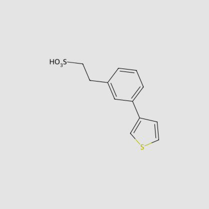 O=S(=O)(O)CCc1cccc(-c2ccsc2)c1